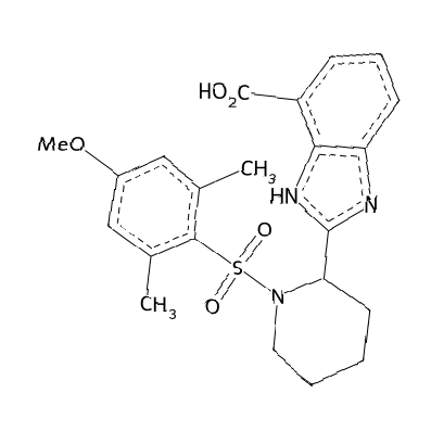 COc1cc(C)c(S(=O)(=O)N2CCCCC2c2nc3cccc(C(=O)O)c3[nH]2)c(C)c1